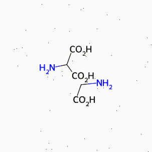 NC(C(=O)O)C(=O)O.NCC(=O)O